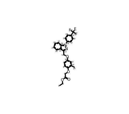 CCOC(=O)COc1ccc(OCc2nn(-c3ccc(C(F)(F)F)cc3)c3ccccc23)cc1C